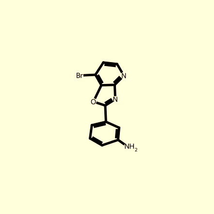 Nc1cccc(-c2nc3nccc(Br)c3o2)c1